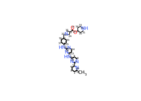 Cc1cccc(-c2nccc(Nc3ccnc(Nc4ccc(CN5CC(C(=O)OC6CCNCC6)C5)cc4)n3)n2)n1